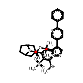 CNc1c(S(C)(=O)=O)c(C2CC3CCC(C2)N3C(=O)OC(C)(C)C)nc2c(-c3ccc(-c4ccccc4)nc3)cnn12